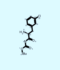 CC(C)(C)OC(=O)[N]C(=O)[C@@H](N)Cc1cccc(Cl)c1